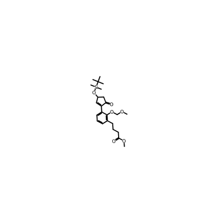 COCOc1c(CCCC(=O)OC)cccc1C1=CC(O[Si](C)(C)C(C)(C)C)CC1=O